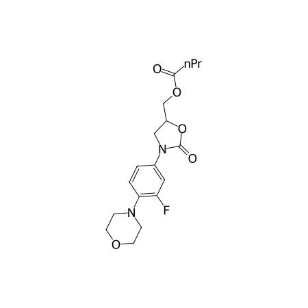 CCCC(=O)OCC1CN(c2ccc(N3CCOCC3)c(F)c2)C(=O)O1